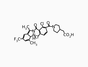 CC1=CC(C(F)(F)F)=CC2=C(C)N(C(=O)c3c(Cl)ccc(C(=O)N4CCC(CC(=O)O)CC4)c3Cl)NC12